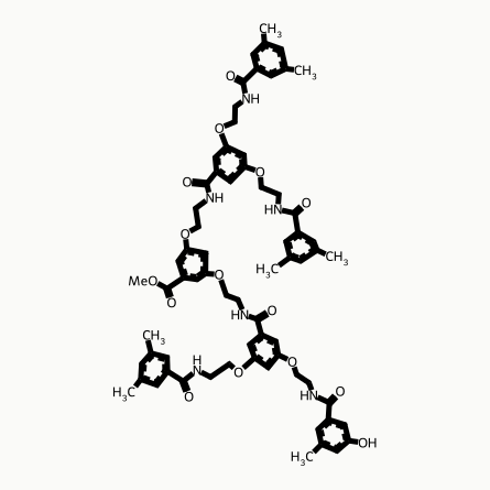 COC(=O)c1cc(OCCNC(=O)c2cc(OCCNC(=O)c3cc(C)cc(C)c3)cc(OCCNC(=O)c3cc(C)cc(C)c3)c2)cc(OCCNC(=O)c2cc(OCCNC(=O)c3cc(C)cc(C)c3)cc(OCCNC(=O)c3cc(C)cc(O)c3)c2)c1